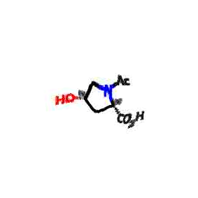 CC(=O)N1C[C@@H](O)C[C@H]1C(=O)O